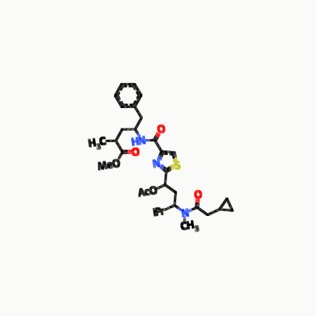 COC(=O)C(C)CC(Cc1ccccc1)NC(=O)c1csc(C(CC(C(C)C)N(C)C(=O)CC2CC2)OC(C)=O)n1